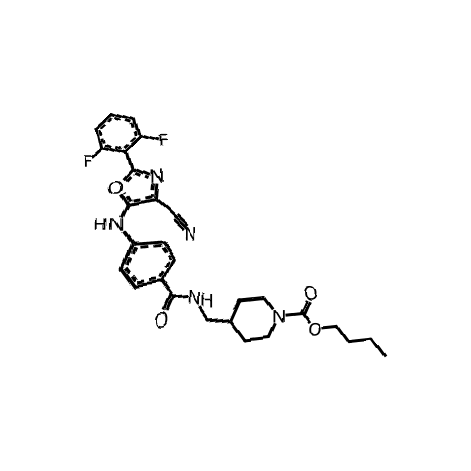 CCCCOC(=O)N1CCC(CNC(=O)c2ccc(Nc3oc(-c4c(F)cccc4F)nc3C#N)cc2)CC1